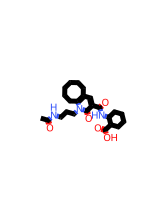 CC(=O)NCCCn1c2c(cc(C(=O)NC3CCCCC3C(=O)O)c1=O)CCCCCC2